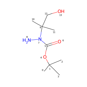 CC(C)(C)OC(=O)N(N)C(C)(C)CO